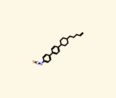 C=CCCCC1CCC(c2ccc(-c3ccc(N=C=S)cc3)cc2)CC1